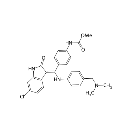 COC(=O)Nc1ccc(C(Nc2ccc(CN(C)C)cc2)=C2C(=O)Nc3cc(Cl)ccc32)cc1